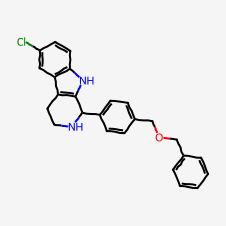 Clc1ccc2[nH]c3c(c2c1)CCNC3c1ccc(COCc2ccccc2)cc1